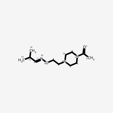 CC(=O)N1CCN(CCO/N=C/C(C)C)CC1